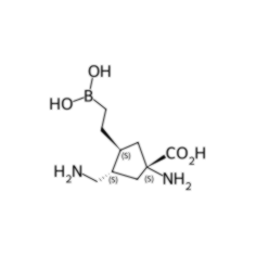 NC[C@H]1C[C@](N)(C(=O)O)C[C@@H]1CCB(O)O